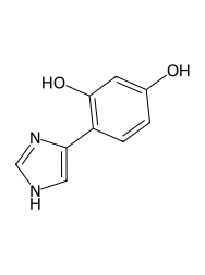 Oc1ccc(-c2c[nH]cn2)c(O)c1